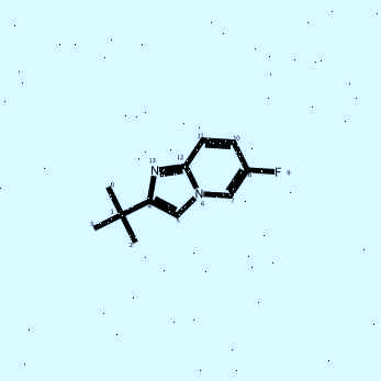 CC(C)(C)c1cn2cc(F)ccc2n1